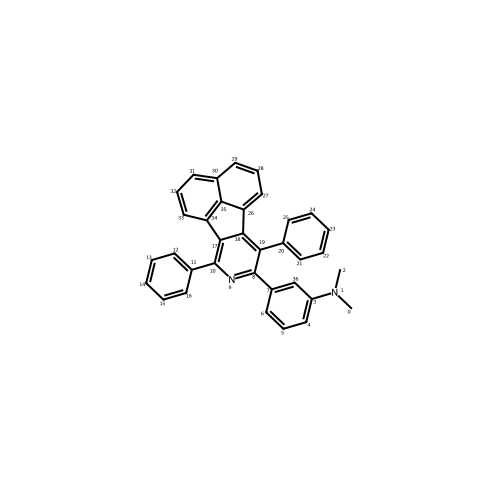 CN(C)c1cccc(-c2nc(-c3ccccc3)c3c(c2-c2ccccc2)-c2cccc4cccc-3c24)c1